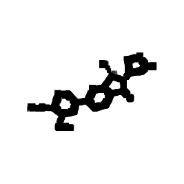 CC[C@H]1c2nc(-c3cnc(OC)c(OC)c3)ccc2C(=O)N1c1cn[nH]c1